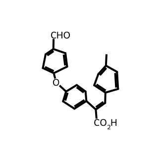 Cc1ccc(C=C(C(=O)O)c2ccc(Oc3ccc(C=O)cc3)cc2)cc1